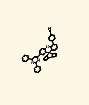 N#Cc1ccc(-c2cccc3c2Oc2ccc(-c4cc(-c5ccccc5)nc(-c5ccccc5)n4)cc2C32c3ccccc3-c3ccccc32)cc1